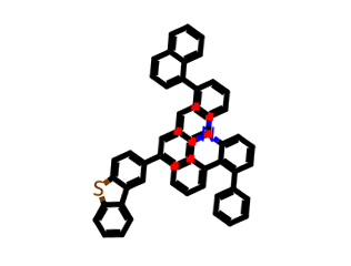 c1ccc(-c2ccccc2-c2c(-c3ccccc3)cccc2N(c2ccc(-c3ccc4sc5ccccc5c4c3)cc2)c2cccc(-c3cccc4ccccc34)c2)cc1